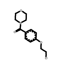 O=C(c1ccc(OCCCl)cc1)N1CCOCC1